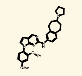 COc1ccc(-n2ccc3cnc(Nc4ccc5c(c4)CCC(N4CCCC4)CC5)nc32)c(OC(C)C)c1